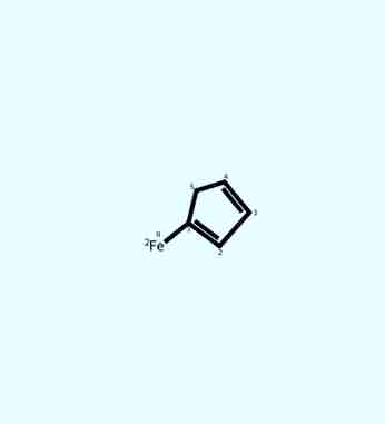 [2Fe][C]1=CC=CC1